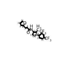 Cc1c(NC(=O)C=Cc2ccco2)cnn1-c1ccc(C(F)(F)F)cc1C(F)(F)F